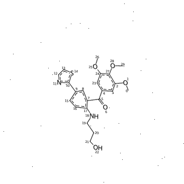 COc1cc(C(=O)c2cc(-c3nccs3)ccc2NCCCO)cc(OC)c1OC